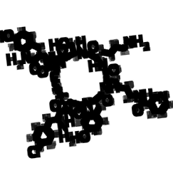 C[C@@H](O)[C@@H]1NC(=O)[C@H](CCCCN)NC(=O)[C@@H](CCCCNC(=O)c2cccnc2)NC(=O)[C@H](Cc2ccc(O)cc2)NC(=O)[C@H](NC(=O)[C@@H](N)Cc2ccc(Cl)cc2)CSSC[C@@H](C(=O)N[C@H](Cc2ccc(O)cc2)C(N)=O)NC1=O